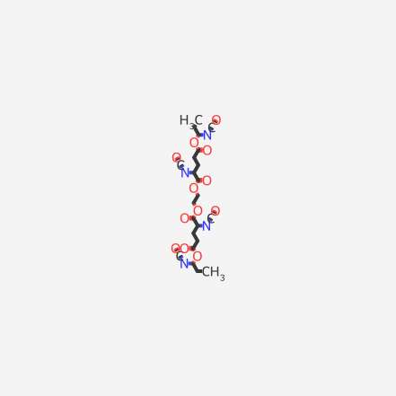 CCC(N=C=O)OC(=O)CCC(N=C=O)C(=O)OCCOC(=O)C(CCC(=O)OC(CC)N=C=O)N=C=O